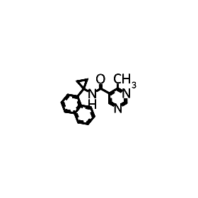 Cc1ncncc1C(=O)NC1(c2cccc3ccccc23)CC1